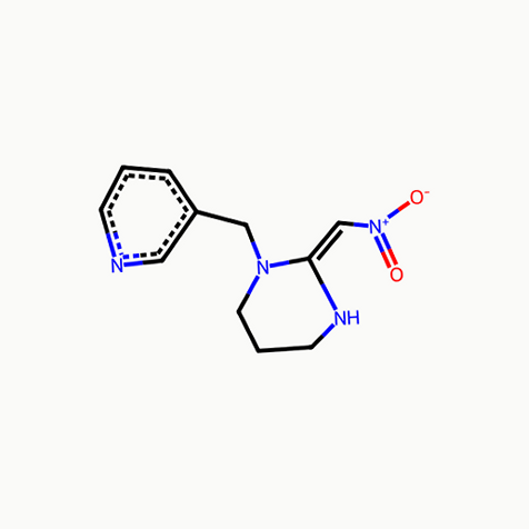 O=[N+]([O-])C=C1NCCCN1Cc1cccnc1